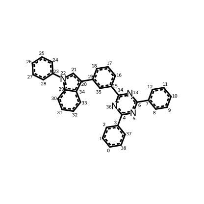 c1ccc(-c2nc(-c3ccccc3)nc(-c3cccc(-c4cn(-c5ccccc5)c5ccccc45)c3)n2)cc1